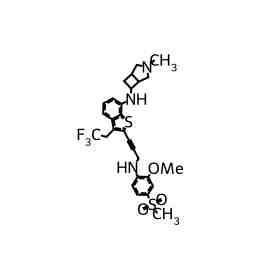 COc1cc(S(C)(=O)=O)ccc1NCC#Cc1sc2c(NC3CC4CN(C)CC43)cccc2c1CC(F)(F)F